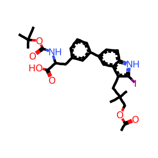 CC(=O)OCC(C)(C)Cc1c(I)[nH]c2ccc(-c3cccc(CC(NC(=O)OC(C)(C)C)C(=O)O)c3)cc12